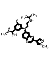 CNC(O)c1cc(F)cc(N(CCNC(C)C)c2ccc3ncc(-c4cnn(C)c4)nc3c2)c1